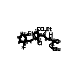 CCOC(=O)c1nn(Cc2c(F)cccc2F)c(Cl)c1CCNC(=O)OC(C)(C)C